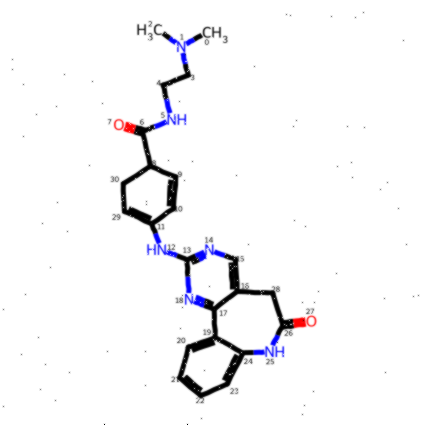 CN(C)CCNC(=O)C1C=CC(Nc2ncc3c(n2)-c2ccccc2NC(=O)C3)=CC1